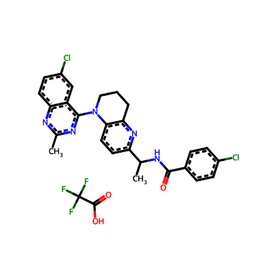 Cc1nc(N2CCCc3nc(C(C)NC(=O)c4ccc(Cl)cc4)ccc32)c2cc(Cl)ccc2n1.O=C(O)C(F)(F)F